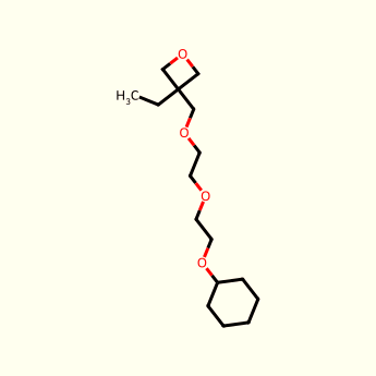 CCC1(COCCOCCOC2CCCCC2)COC1